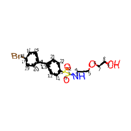 O=S(=O)(NCCOCCO)c1ccc(-c2ccc(Br)cc2)cc1